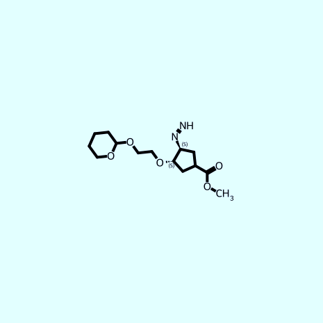 COC(=O)C1C[C@H](N=N)[C@@H](OCCOC2CCCCO2)C1